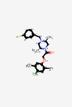 Cc1cc(OCC(=O)N2C[C@H](C)N(Cc3ccc(F)cc3)C[C@H]2C)c(C(C)C)cc1Cl